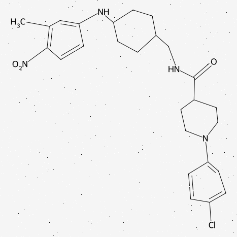 Cc1cc(NC2CCC(CNC(=O)C3CCN(c4ccc(Cl)cc4)CC3)CC2)ccc1[N+](=O)[O-]